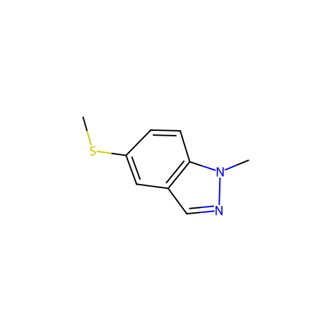 CSc1ccc2c(cnn2C)c1